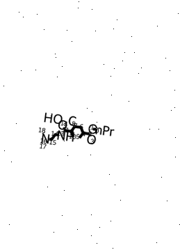 CCCOC(=O)C(C)CC(C(=O)O)C(C)C(=O)NCCN(C)C